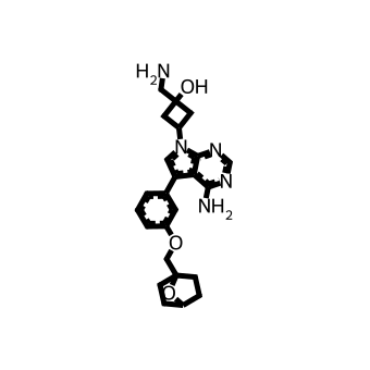 NCC1(O)CC(n2cc(-c3cccc(OCC45CCC(CC4)O5)c3)c3c(N)ncnc32)C1